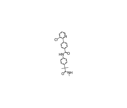 CNC(=O)C(C)(C)c1ccc(NC(=O)c2ccc(-c3ncccc3Cl)cc2)cc1